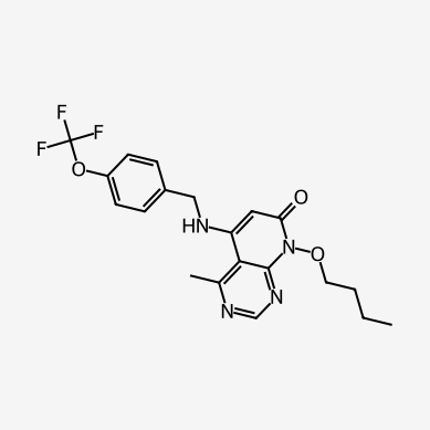 CCCCOn1c(=O)cc(NCc2ccc(OC(F)(F)F)cc2)c2c(C)ncnc21